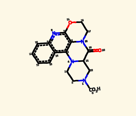 O=C(O)N1CCN2c3c4c(nc5ccccc35)OCCN4C(=O)C2C1